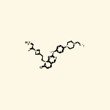 C=CC(=O)N1CC(CCn2c(=O)ccc3cnc(Nc4ccc(N5CCN(CC(F)(F)F)CC5)cc4)nc32)C1